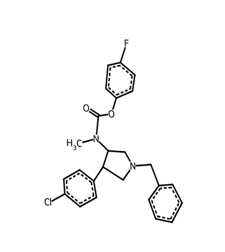 CN(C(=O)Oc1ccc(F)cc1)C1CN(Cc2ccccc2)CC1c1ccc(Cl)cc1